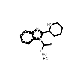 Cl.Cl.FC(F)n1c(C2CCCCN2)nc2ccccc21